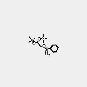 C[Si](C)(C)OC(CO[SiH2]c1ccccc1)O[Si](C)(C)C